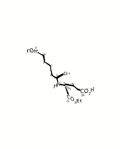 CCCCCCCCCCCCCCC(=O)N[C@@H](CC(=O)O)C(=O)OCC